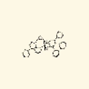 c1ccc(-c2cc3c(nc4n3COCc3ccc(-c5ccccc5)c5cccc-4c35)c(-c3ccccc3)c2-c2ccccc2)cc1